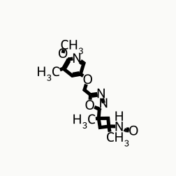 COc1ncc(OCc2nnc(C3(C)CC(C)(NC=O)C3)o2)cc1C